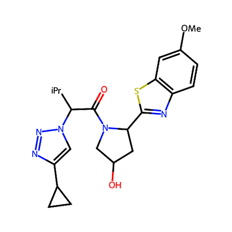 COc1ccc2nc(C3CC(O)CN3C(=O)C(C(C)C)n3cc(C4CC4)nn3)sc2c1